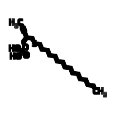 CC#CC(COP(=O)(O)O)CSCCCCCCCCCCCCCCCC